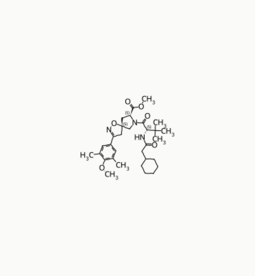 COC(=O)[C@@H]1C[C@]2(CC(c3cc(C)c(OC)c(C)c3)=NO2)CN1C(=O)[C@@H](NC(=O)CC1CCCCC1)C(C)(C)C